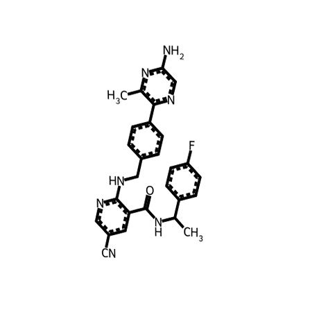 Cc1nc(N)cnc1-c1ccc(CNc2ncc(C#N)cc2C(=O)NC(C)c2ccc(F)cc2)cc1